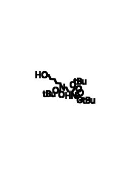 CC(C)(C)OC(=O)N[C@@H](CCN(CCCCCO)C(=O)OC(C)(C)C)C(=O)OC(C)(C)C